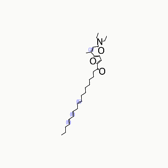 CCC/C=C/C=C/C/C=C/CCCCCCCC(=O)c1ccc(/C(C)=C\C(=O)N(CC)CC)o1